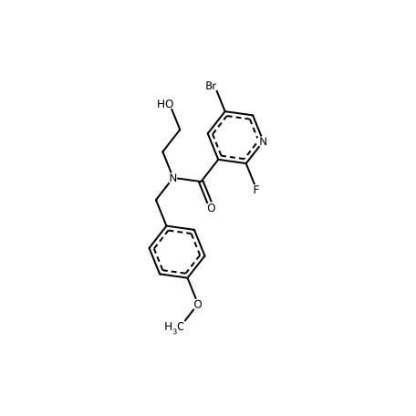 COc1ccc(CN(CCO)C(=O)c2cc(Br)cnc2F)cc1